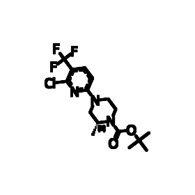 C[C@@H]1CN(c2ccc(C(F)(F)F)c(Cl)n2)CCN1C(=O)OC(C)(C)C